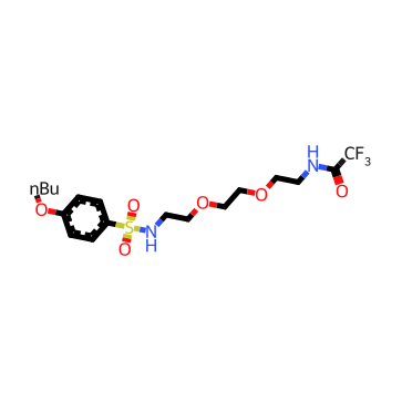 CCCCOc1ccc(S(=O)(=O)NCCOCCOCCNC(=O)C(F)(F)F)cc1